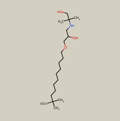 CCCCCCCCC(C)(C)CCCCCCCCCOCC(O)CNC(C)(C)CO